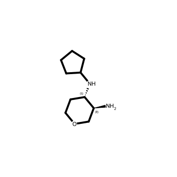 N[C@H]1COCC[C@@H]1NC1CCCC1